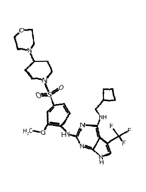 COc1cc(S(=O)(=O)N2CCC(N3CCOCC3)CC2)ccc1Nc1nc(NCC2CCC2)c2c(C(F)(F)F)c[nH]c2n1